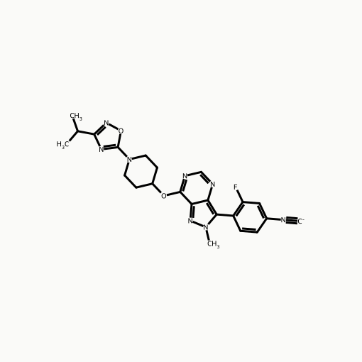 [C-]#[N+]c1ccc(-c2c3ncnc(OC4CCN(c5nc(C(C)C)no5)CC4)c3nn2C)c(F)c1